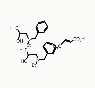 CCN(Cc1ccccc1)CC(C)O.CCN(Cc1ccccc1)CC(C)O.O=C(O)C=CC(=O)O